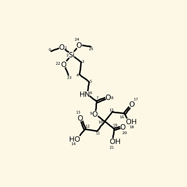 CO[Si](CCCNC(=O)OC(CC(=O)O)(CC(=O)O)C(=O)O)(OC)OC